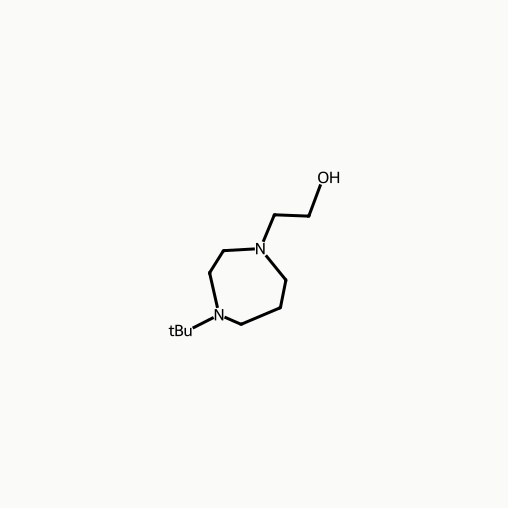 CC(C)(C)N1CCCN(CCO)CC1